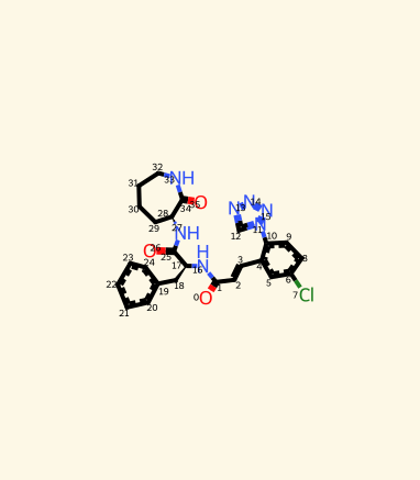 O=C(/C=C/c1cc(Cl)ccc1-n1cnnn1)N[C@@H](Cc1ccccc1)C(=O)N[C@@H]1CCCCNC1=O